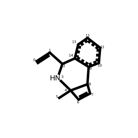 C=CC1NC2(C)C=CC2c2ccccc21